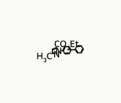 CCOC(=O)c1cc(C)nn1-c1ccc(-c2ccccc2)cc1